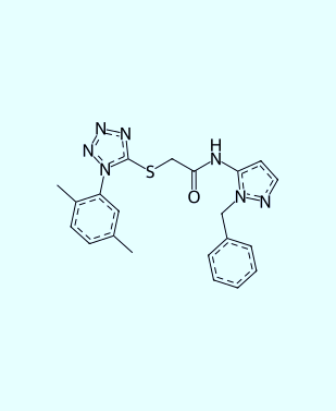 Cc1ccc(C)c(-n2nnnc2SCC(=O)Nc2ccnn2Cc2ccccc2)c1